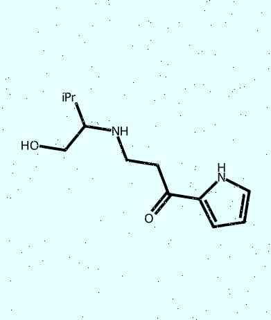 CC(C)C(CO)NCCC(=O)c1ccc[nH]1